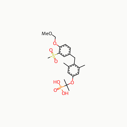 COCOc1ccc(Cc2c(C)cc(OC(C)(C)P(=O)(O)O)cc2C)cc1S(C)(=O)=O